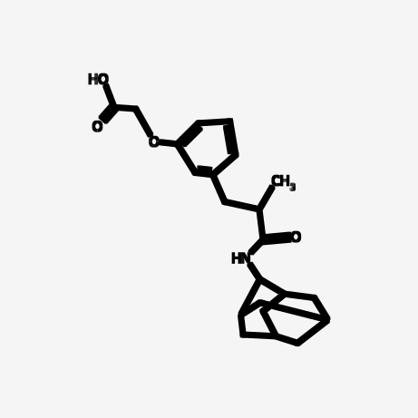 CC(Cc1cccc(OCC(=O)O)c1)C(=O)NC1C2CC3CC(C2)CC1C3